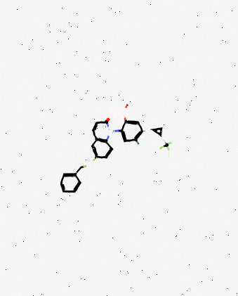 COc1cc([C@@H]2C[C@H]2C(F)(F)F)c(Cl)cc1-n1c(=O)ccc2cc(SCc3ccccc3)ccc21